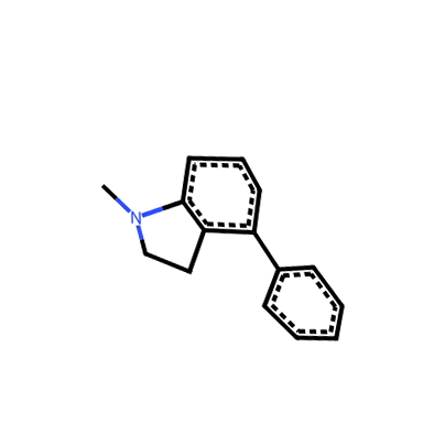 CN1CCc2c(-c3ccccc3)cccc21